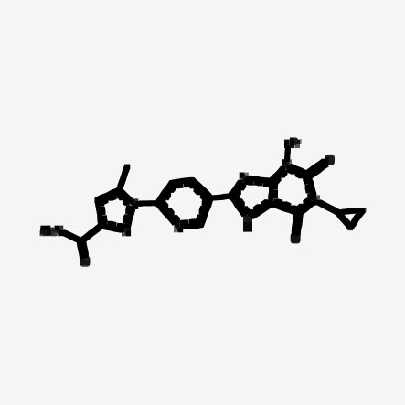 CCCn1c(=O)n(C2CC2)c(=O)c2[nH]c(-c3ccc(-n4nc(C(=O)NC)cc4C)nc3)nc21